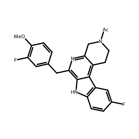 COc1ccc(Cc2nc3c(c4c2[nH]c2ccc(F)cc24)CCN(C(C)=O)C3)cc1F